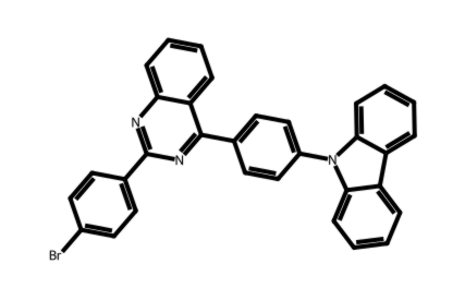 Brc1ccc(-c2nc(-c3ccc(-n4c5ccccc5c5ccccc54)cc3)c3ccccc3n2)cc1